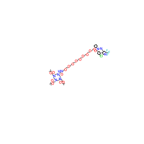 CN(C(=O)c1ccc(Cl)c(-c2cnc(C(F)(F)F)cc2C#N)c1)c1ccccc1OCCOCCOCCOCCOCCOCCOCCOCCOCCNC(=O)CN1CCN(CC(=O)OC(C)(C)C)CCN(CC(=O)OC(C)(C)C)CCN(CC(=O)OC(C)(C)C)CC1